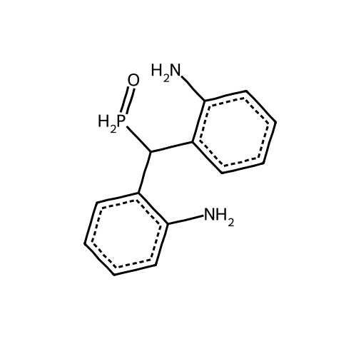 Nc1ccccc1C([PH2]=O)c1ccccc1N